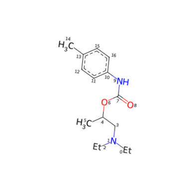 CCN(CC)CC(C)OC(=O)Nc1ccc(C)cc1